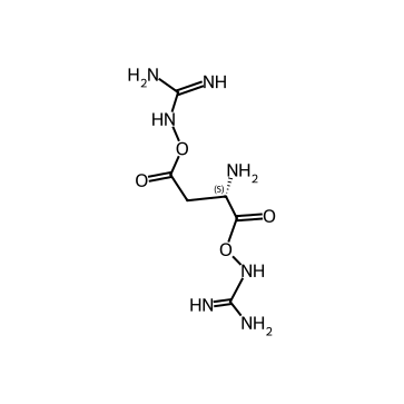 N=C(N)NOC(=O)C[C@H](N)C(=O)ONC(=N)N